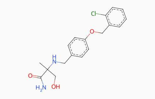 CC(CO)(NCc1ccc(OCc2ccccc2Cl)cc1)C(N)=O